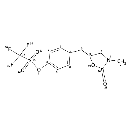 CN1CC(Cc2ccc(OS(=O)(=O)C(F)(F)F)cc2)OC1=O